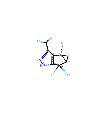 FC(F)c1n[nH]c2c1[C@H]1CC1C2(F)F